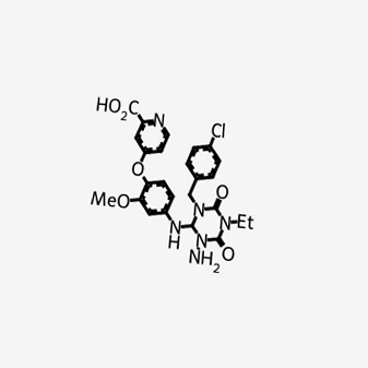 CCN1C(=O)N(N)C(Nc2ccc(Oc3ccnc(C(=O)O)c3)c(OC)c2)N(Cc2ccc(Cl)cc2)C1=O